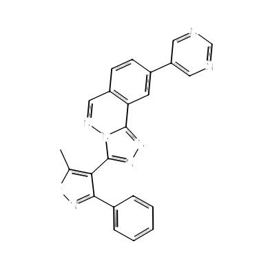 Cc1onc(-c2ccccc2)c1-c1nnc2c3cc(-c4cncnc4)ccc3cnn12